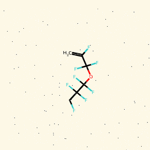 C=C(F)C(F)(F)OC(F)(F)C(F)(F)CF